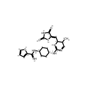 CC1C=NC(N[C@H]2CC[C@H](NC(=N)c3ccco3)CC2)=NC1/C=C1\SC(=O)NC1=O